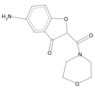 Nc1ccc2c(c1)C(=O)C(C(=O)N1CCOCC1)O2